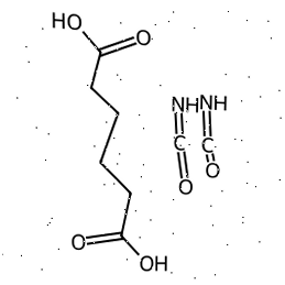 N=C=O.N=C=O.O=C(O)CCCCC(=O)O